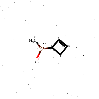 C[S+]([O-])C1[C]=CC1